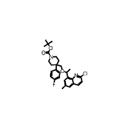 Cc1cc(C(C)OCC2(c3ccc(F)cc3)CCN(C(=O)OC(C)(C)C)CC2)c2nc(Cl)ccc2c1